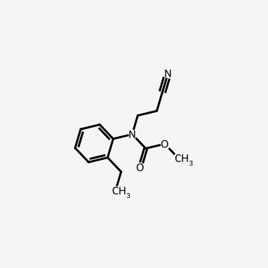 CCc1ccccc1N(CCC#N)C(=O)OC